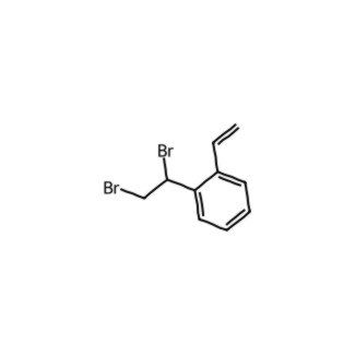 C=Cc1ccccc1C(Br)CBr